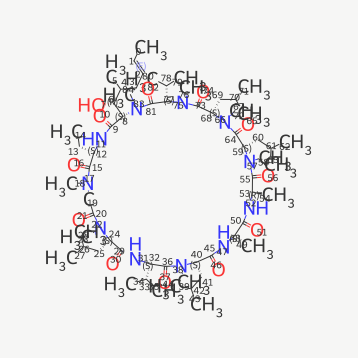 C/C=C/CC(C)[C@@H](O)[C@H]1C(=O)N[C@@H](CC)C(=O)N(C)CC(=O)N(C)[C@@H](CC(C)C)C(=O)N[C@@H](C(C)C)C(=O)N(C)[C@@H](CC(C)C)C(=O)N[C@@H](C)C(=O)N[C@H](C)C(=O)N(C)[C@@H](CC(C)C)C(=O)N(C)[C@@H](CC(C)C)C(=O)N(C)[C@@H](C(C)C)C(=O)N1C